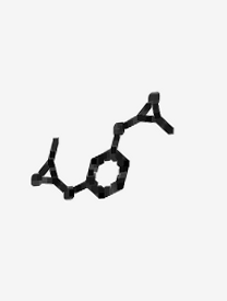 CC1OC1Oc1cccc(OC2OC2C)c1